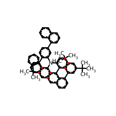 CC(C)(C)c1cc(-c2cccc3cccc(-c4ccccc4N(c4cc(-c5cccc6ccccc56)ccc4-c4ccccc4)c4cccc5c4-c4ccccc4C5(C)C)c23)cc(C(C)(C)C)c1